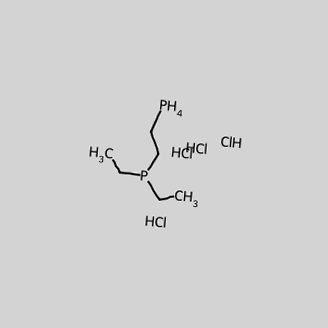 CCP(CC)CC[PH4].Cl.Cl.Cl.Cl